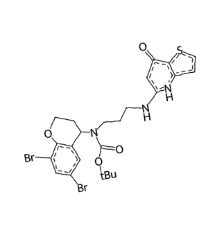 CC(C)(C)OC(=O)N(CCCNc1cc(=O)c2sccc2[nH]1)C1CCOc2c(Br)cc(Br)cc21